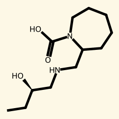 CC[C@@H](O)CNCC1CCCCCN1C(=O)O